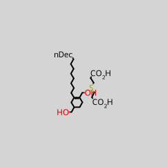 CCCCCCCCCCCCCCCCCCC1=C(CO)CCC(CO)C1.O=C(O)CCSCCC(=O)O